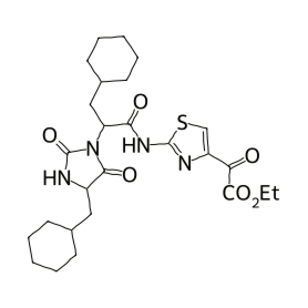 CCOC(=O)C(=O)c1csc(NC(=O)C(CC2CCCCC2)N2C(=O)NC(CC3CCCCC3)C2=O)n1